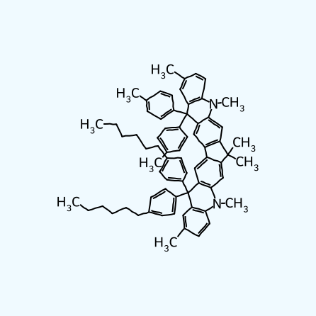 CCCCCCc1ccc(C2(c3ccc(CCCCCC)cc3)c3cc(C)ccc3N(C)c3cc4c(cc32)-c2cc3c(cc2C4(C)C)N(C)c2ccc(C)cc2C3(c2ccc(C)cc2)c2ccc(C)cc2)cc1